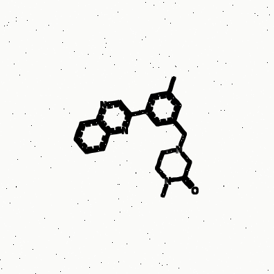 Cc1cc(CN2CCN(C)C(=O)C2)cc(-c2cnc3ccccc3n2)c1